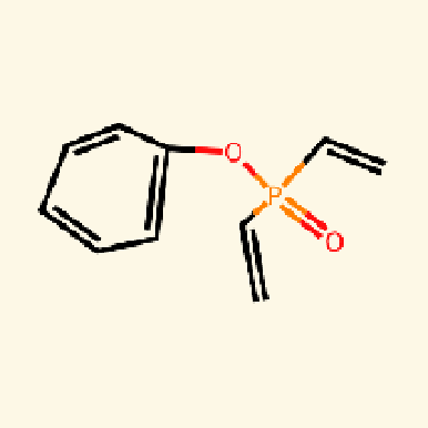 C=CP(=O)(C=C)Oc1ccccc1